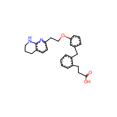 O=C(O)CCc1ccccc1Cc1cccc(OCCc2ccc3c(n2)NCCC3)c1